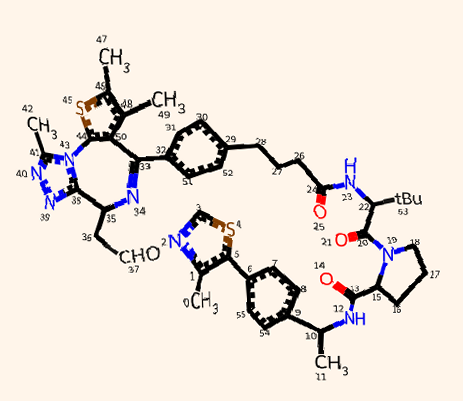 Cc1ncsc1-c1ccc(C(C)NC(=O)C2CCCN2C(=O)C(NC(=O)CCCc2ccc(C3=NC(CC=O)c4nnc(C)n4-c4sc(C)c(C)c43)cc2)C(C)(C)C)cc1